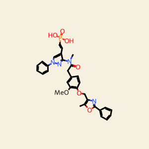 COc1cc(CC(=O)N(C)c2nn(-c3ccccc3)cc2C=CP(=O)(O)O)ccc1OCc1nc(-c2ccccc2)oc1C